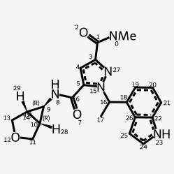 CNC(=O)c1cc(C(=O)N[C@H]2[C@@H]3COC[C@@H]32)n(C(C)c2cccc3[nH]ccc23)n1